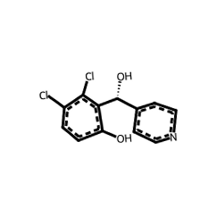 Oc1ccc(Cl)c(Cl)c1[C@H](O)c1ccncc1